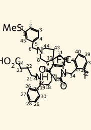 CSc1cccc(CN2CCC3(CCc4c3c(=O)n(C[C@H](NCCCC(=O)O)c3ccccc3)c(=O)n4Cc3c(F)cccc3C(F)(F)F)CC2)c1